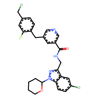 O=C(NCc1nn(C2CCCCO2)c2ccc(Cl)cc12)c1cncc(Cc2ccc(CCl)cc2F)c1